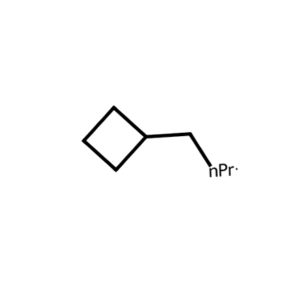 CC[CH]CC1CCC1